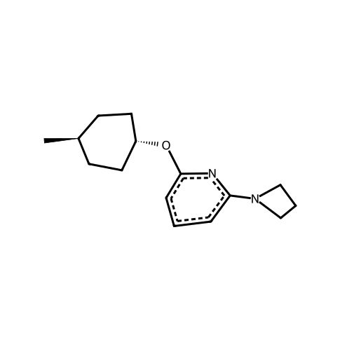 C[C@H]1CC[C@H](Oc2cccc(N3CCC3)n2)CC1